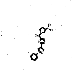 CCN(CC)C1CCN(C(=O)c2csc(-c3cnn(-c4ccccc4)c3)n2)C1